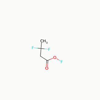 CC(F)(F)CC(=O)OF